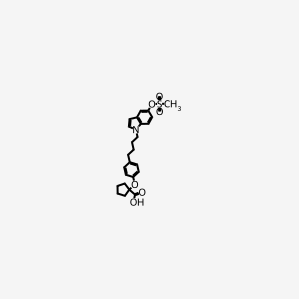 CS(=O)(=O)Oc1ccc2c(ccn2CCCCc2ccc(OC3(C(=O)O)CCCC3)cc2)c1